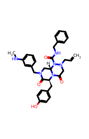 C=CCN1CC(=O)N2[C@@H](Cc3ccc(O)cc3)C(=O)N(Cc3cccc(NC)c3)C[C@@H]2N1C(=O)NCc1ccccc1